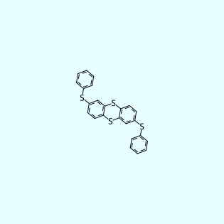 c1ccc(Sc2ccc3c(c2)Sc2ccc(Sc4ccccc4)cc2S3)cc1